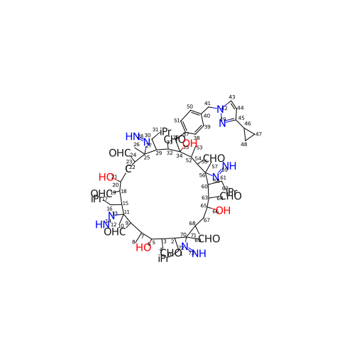 CC(C)CC1C(C=O)C(O)C(C)C(C=O)C(C)(N=N)C(CC(C)C)C(C=O)C(O)CC(C=O)C(C)(N=N)C(CC(C)C)C(C=O)C(O)(Cc2ccc(Cn3ccc(C4CC4)n3)cc2)C(C)C(C=O)C(C)(N=N)C(CC(C)C)C(C=O)C(O)CC(C=O)C1(C)N=N